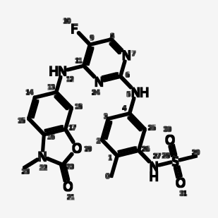 Cc1ccc(Nc2ncc(F)c(Nc3ccc4c(c3)oc(=O)n4C)n2)cc1NS(C)(=O)=O